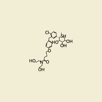 C[SH]1C[C@@H](O)[C@@H](O)[C@@H](O)[C@@H]1c1ccc(Cl)c(Cc2ccc(OCCCC(=O)N(CCO)CCO)cc2)c1